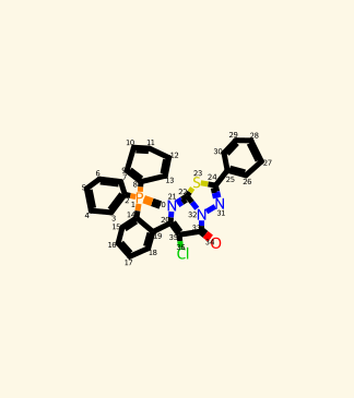 C=P(c1ccccc1)(c1ccccc1)c1ccccc1-c1nc2sc(-c3ccccc3)nn2c(=O)c1Cl